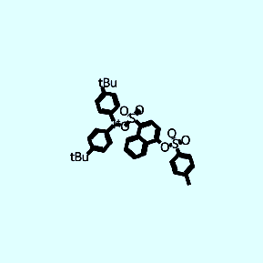 Cc1ccc(S(=O)(=O)Oc2ccc(S(=O)(=O)O[I+](c3ccc(C(C)(C)C)cc3)c3ccc(C(C)(C)C)cc3)c3ccccc23)cc1